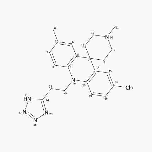 Cc1ccc2c(c1)C1(CCN(C)CC1)c1cc(Cl)ccc1N2CCc1nnn[nH]1